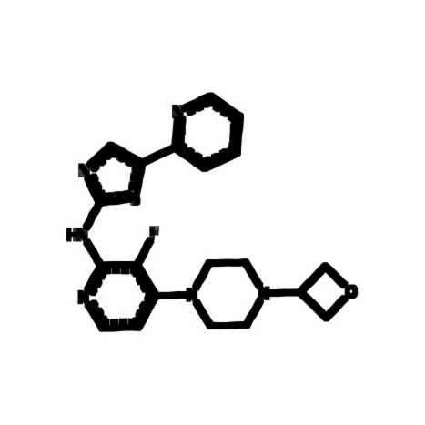 Fc1c(N2CCN(C3COC3)CC2)ccnc1Nc1ncc(-c2ccccn2)s1